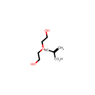 C=C(C#N)C(=O)O.OCCOCCO